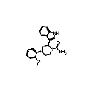 COc1ccccc1N1CCN(C(N)=O)C(c2c[nH]c3ccccc23)C1